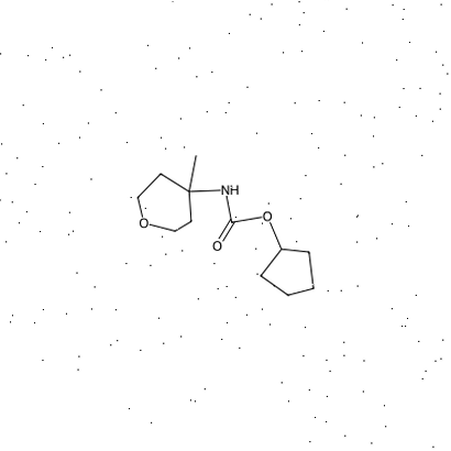 CC1(NC(=O)OC2CCCC2)CCOCC1